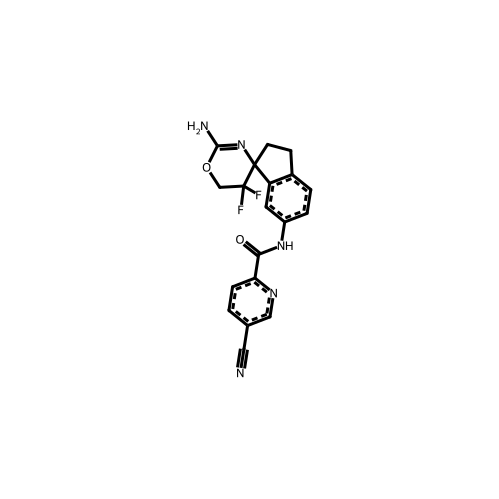 N#Cc1ccc(C(=O)Nc2ccc3c(c2)C2(CC3)N=C(N)OCC2(F)F)nc1